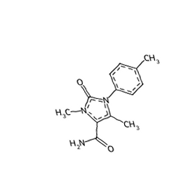 Cc1ccc(-n2c(C)c(C(N)=O)n(C)c2=O)cc1